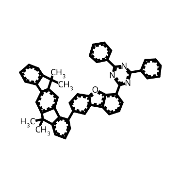 CC1(C)c2ccccc2-c2cc3c(cc21)-c1c(-c2ccc4oc5c(-c6nc(-c7ccccc7)nc(-c7ccccc7)n6)cccc5c4c2)cccc1C3(C)C